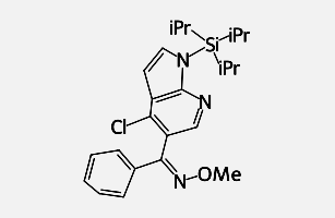 CO/N=C(/c1ccccc1)c1cnc2c(ccn2[Si](C(C)C)(C(C)C)C(C)C)c1Cl